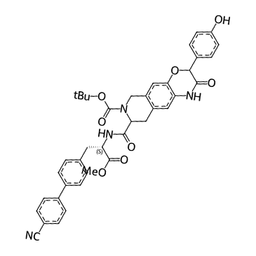 COC(=O)[C@H](Cc1ccc(-c2ccc(C#N)cc2)cc1)NC(=O)C1Cc2cc3c(cc2CN1C(=O)OC(C)(C)C)OC(c1ccc(O)cc1)C(=O)N3